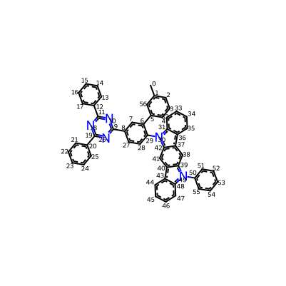 Cc1cccc(-c2cc(-c3nc(-c4ccccc4)nc(-c4ccccc4)n3)ccc2-n2c3ccccc3c3cc4c(cc32)c2ccccc2n4-c2ccccc2)c1